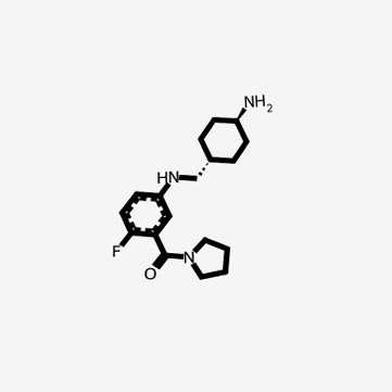 N[C@H]1CC[C@H](CNc2ccc(F)c(C(=O)N3CCCC3)c2)CC1